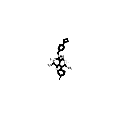 Cc1c(-c2c(C(N)=O)nc3cc(F)ccc3c2C(N)=O)c(C(F)(F)F)nn1Cc1ccc(C2CCC2)cc1